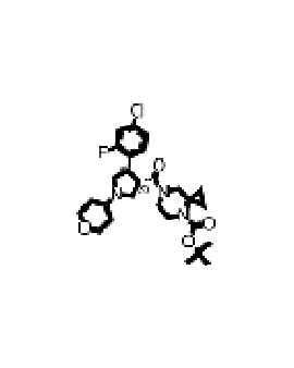 CC(C)(C)OC(=O)N1CCN(C(=O)[C@@H]2CN(C3CCOCC3)C[C@H]2c2ccc(Cl)cc2F)CC12CC2